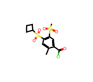 Cc1cc(S(=O)(=O)C2CCC2)c(S(C)(=O)=O)cc1C(=O)Cl